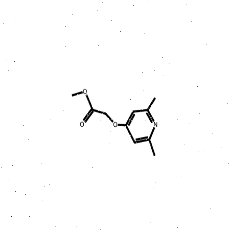 COC(=O)COc1cc(C)nc(C)c1